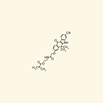 C=C(C)C(=O)OCCNC(=O)COc1ccc2c(c1)C(C)(C)c1[nH]c3cc(C#N)ccc3c1C2=O